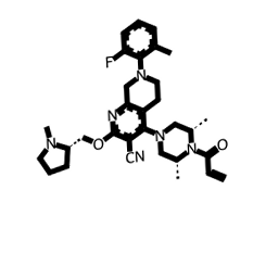 C=CC(=O)N1[C@H](C)CN(c2c(C#N)c(OC[C@@H]3CCCN3C)nc3c2CCN(c2c(C)cccc2F)C3)C[C@@H]1C